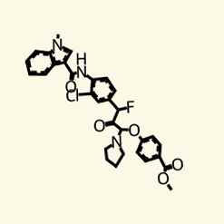 COC(=O)c1ccc(OC(C(=O)C(F)c2ccc(NC(=O)c3cn(C)c4ccccc34)c(Cl)c2)N2CCCC2)cc1